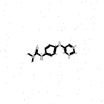 CN(C)C(=O)Nc1ccc(Oc2cncnc2)cc1